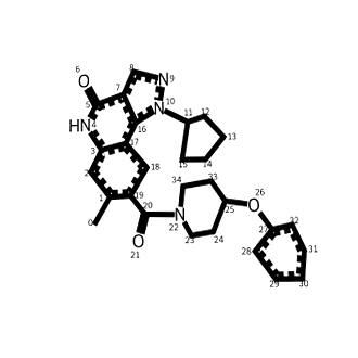 Cc1cc2[nH]c(=O)c3cnn(C4CCCC4)c3c2cc1C(=O)N1CCC(Oc2ccccc2)CC1